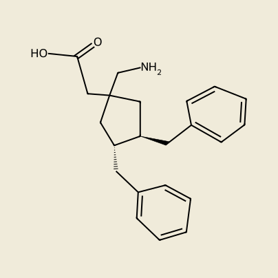 NCC1(CC(=O)O)C[C@@H](Cc2ccccc2)[C@H](Cc2ccccc2)C1